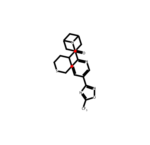 O=C(C1CCSCC1)N1C2CC1CN(c1ccc(-c3noc(C(F)(F)F)n3)cn1)C2